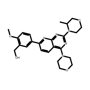 COc1ccc(-c2ccc3c(N4CCOCC4)nc(N4CCOCC4C)nc3n2)cc1CO